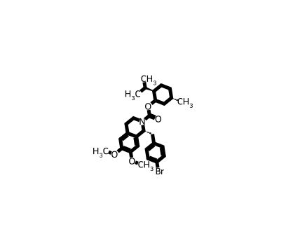 COc1cc2c(cc1OC)[C@@H](Cc1ccc(Br)cc1)N(C(=O)OC1C[C@@H](C)CC[C@@H]1C(C)C)CC2